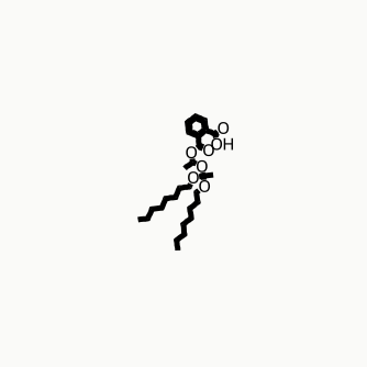 CCCCCCCCOC(C)(OCCCCCCCC)OC(C)OC(=O)c1ccccc1C(=O)O